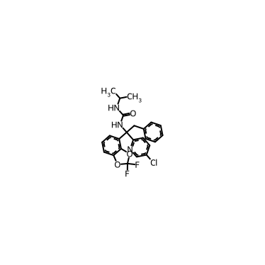 CC(C)NC(=O)NC(Cc1ccccc1)(c1ccc(Cl)cn1)c1cccc2c1OC(F)(F)O2